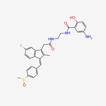 CC1=C(CC(=O)NCCNC(=O)c2cc(N)ccc2O)c2cc(F)ccc2/C1=C\c1ccc([S+](C)[O-])cc1